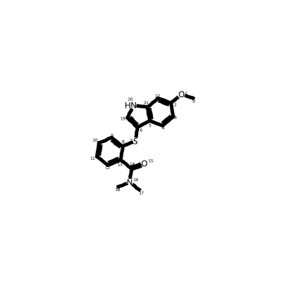 COc1ccc2c(Sc3ccccc3C(=O)N(C)C)c[nH]c2c1